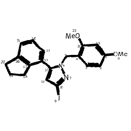 COc1ccc(Cn2nc(I)cc2-c2cccc3c2CCC3)c(OC)c1